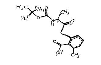 Cc1cccc(CC(=O)[C@H](C)NC(=O)OC(C)(C)C)c1C(=O)O